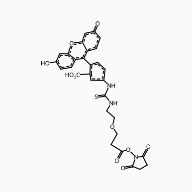 O=C(CCOCCNC(=S)Nc1ccc(-c2c3ccc(=O)cc-3oc3cc(O)ccc23)c(C(=O)O)c1)ON1C(=O)CCC1=O